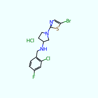 Cl.Fc1ccc(CNC2CCN(c3ncc(Br)s3)C2)c(Cl)c1